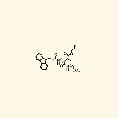 C=CCOC(=O)N1C[C@@H](CC(=O)O)NC(=O)[C@@H]1CNC(=O)OCC1c2ccccc2-c2ccccc21